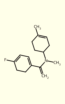 C=C(C1=CC=C(F)CC1)N(C)C1CC=C(C)CC1